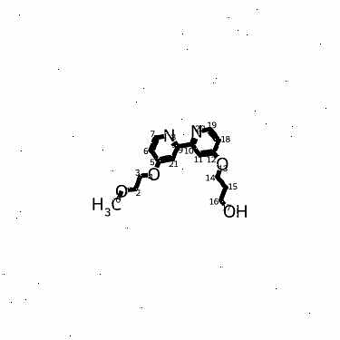 COCCOc1ccnc(-c2cc(OCCCO)ccn2)c1